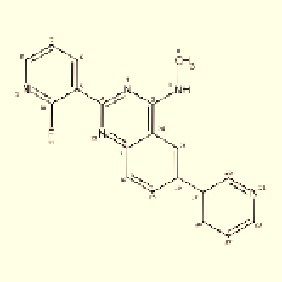 CNc1nc(-c2cccnc2F)nc2ccc(-c3cccnc3)cc12